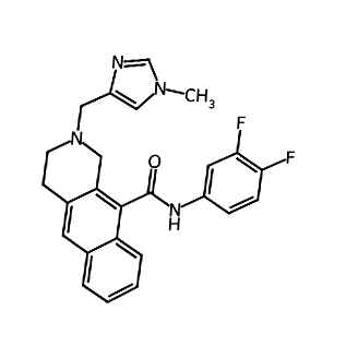 Cn1cnc(CN2CCc3cc4ccccc4c(C(=O)Nc4ccc(F)c(F)c4)c3C2)c1